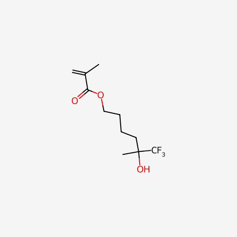 C=C(C)C(=O)OCCCCC(C)(O)C(F)(F)F